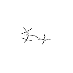 C[Si](C)(C)OC[SiH]([Si](C)(C)C)[Si](C)(C)C